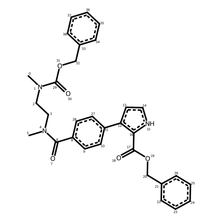 CN(CCN(C)C(=O)c1ccc(-c2cc[nH]c2C(=O)OCc2ccccc2)cc1)C(=O)OCc1ccccc1